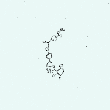 CC(Oc1cc(-c2ccc(OCC(=O)N3CCN(C(=O)OC(C)(C)C)CC3)cc2)cnc1N)c1c(Cl)ccc(F)c1Cl